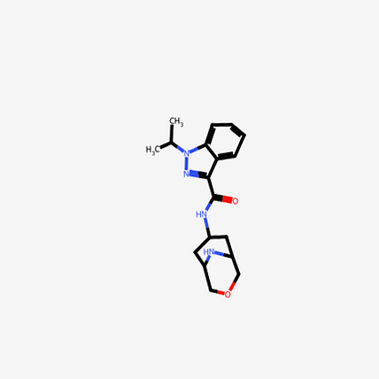 CC(C)n1nc(C(=O)NC2CC3COCC(C2)N3)c2ccccc21